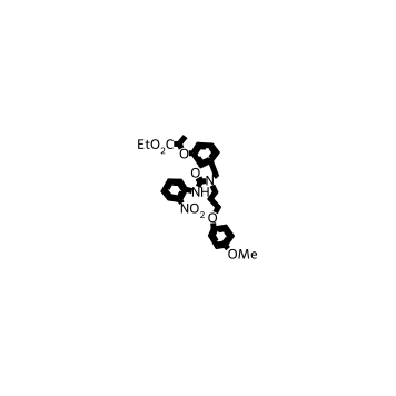 CCOC(=O)C(C)Oc1cccc(CN(CCCOc2ccc(OC)cc2)C(=O)Nc2ccccc2[N+](=O)[O-])c1